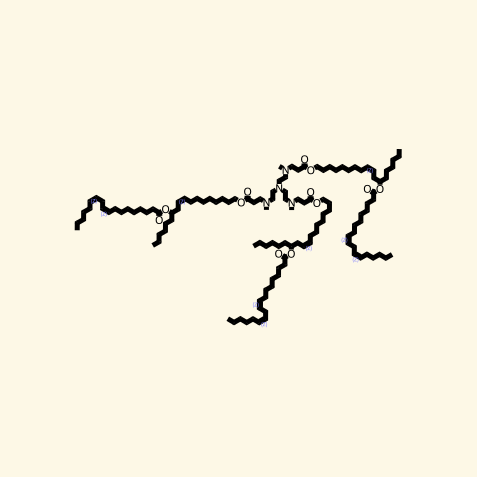 CCCCC/C=C\C/C=C\CCCCCCCC(=O)OC(C/C=C\CCCCCCCCOC(=O)CCN(C)CCN(CCN(C)CCC(=O)OCCCCCCCC/C=C\CC(CCCCCC)OC(=O)CCCCCCC/C=C\C/C=C\CCCCC)CCN(C)CCC(=O)OCCCCCCCC/C=C\CC(CCCCCC)OC(=O)CCCCCCC/C=C\C/C=C\CCCCC)CCCCCC